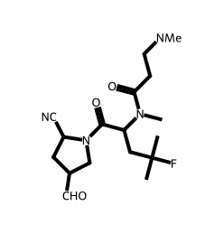 CNCCC(=O)N(C)C(CC(C)(C)F)C(=O)N1CC(C=O)CC1C#N